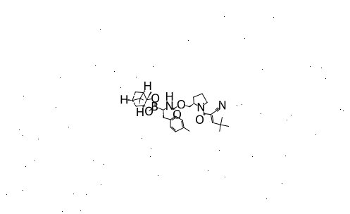 Cc1ccc(C[C@H](NC(=O)OC[C@H]2CCCN2C(=O)/C(C#N)=C/C(C)(C)C)B2O[C@@H]3C[C@@H]4C[C@@H](C4(C)C)[C@]3(C)O2)cc1